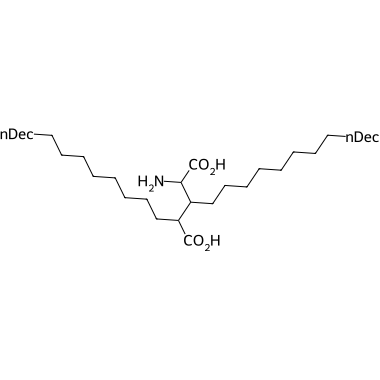 CCCCCCCCCCCCCCCCCCC(C(=O)O)C(CCCCCCCCCCCCCCCCCC)C(N)C(=O)O